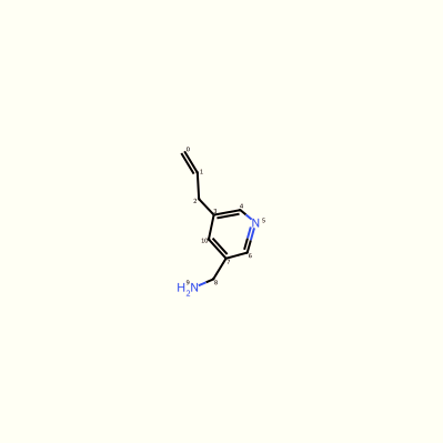 C=CCc1cncc(CN)c1